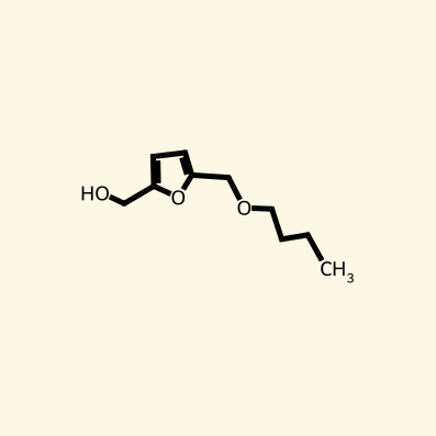 CCCCOCc1ccc(CO)o1